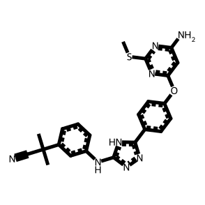 CSc1nc(N)cc(Oc2ccc(-c3nnc(Nc4cccc(C(C)(C)C#N)c4)[nH]3)cc2)n1